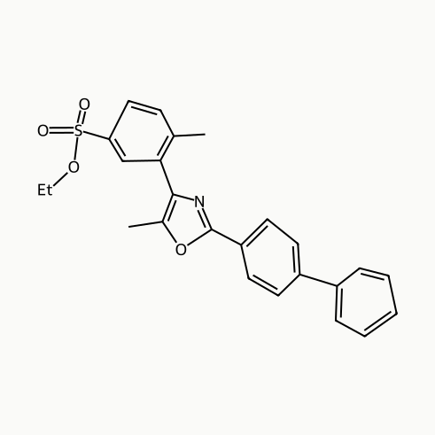 CCOS(=O)(=O)c1ccc(C)c(-c2nc(-c3ccc(-c4ccccc4)cc3)oc2C)c1